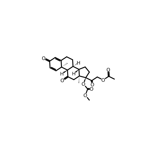 COC(=O)O[C@]1(C(=O)COC(C)=O)CC[C@H]2[C@@H]3CCC4=CC(=O)C=C[C@]4(C)[C@H]3C(=O)C[C@@]21C